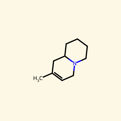 CC1=CCN2CCCCC2C1